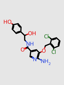 Nc1ncc(C(=O)NCC(O)c2ccc(O)cc2)cc1OCc1c(Cl)cccc1Cl